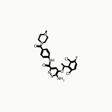 CC(Oc1cc(C(=O)Nc2ccc(C(=O)N3CCN(C)CC3)cc2)nnc1N)c1c(Cl)ccc(F)c1Cl